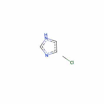 CCl.c1c[nH]cn1